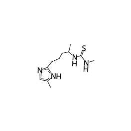 CNC(=S)NC(C)CCCc1ncc(C)[nH]1